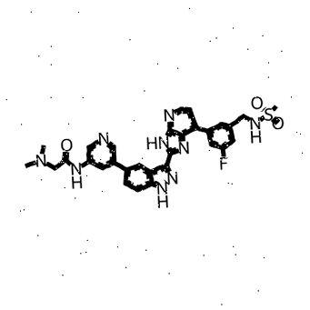 CN(C)CC(=O)Nc1cncc(-c2ccc3[nH]nc(-c4nc5c(-c6cc(F)cc(CNS(C)(=O)=O)c6)ccnc5[nH]4)c3c2)c1